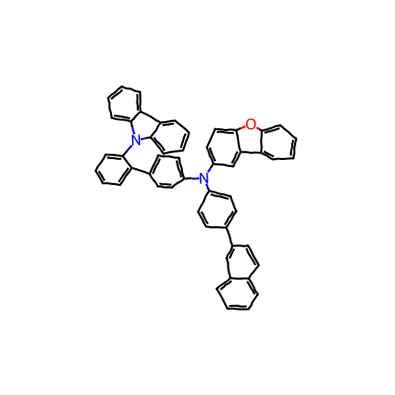 c1ccc(-n2c3ccccc3c3ccccc32)c(-c2ccc(N(c3ccc(-c4ccc5ccccc5c4)cc3)c3ccc4oc5ccccc5c4c3)cc2)c1